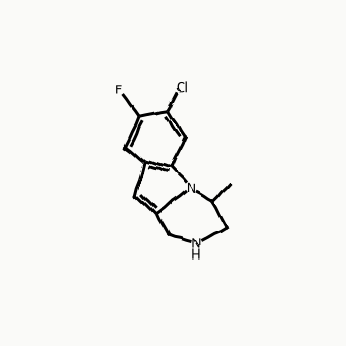 CC1CNCc2cc3cc(F)c(Cl)cc3n21